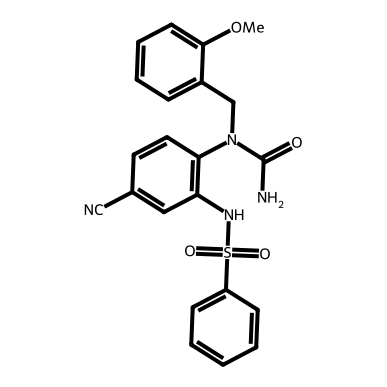 COc1ccccc1CN(C(N)=O)c1ccc(C#N)cc1NS(=O)(=O)c1ccccc1